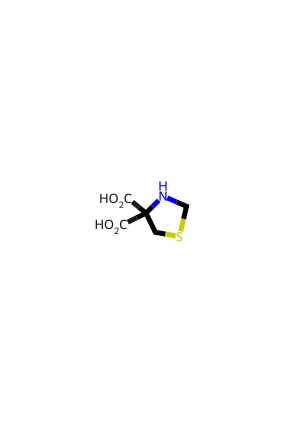 O=C(O)C1(C(=O)O)CSCN1